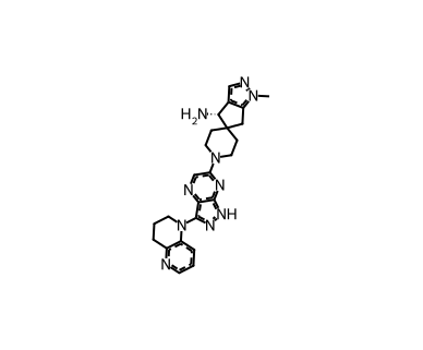 Cn1ncc2c1CC1(CCN(c3cnc4c(N5CCCc6ncccc65)n[nH]c4n3)CC1)[C@@H]2N